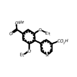 CCOc1cc(C(=O)OC)cc(OCC)c1-c1cncc(C(=O)O)c1